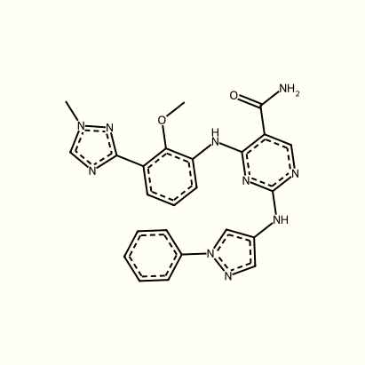 COc1c(Nc2nc(Nc3cnn(-c4ccccc4)c3)ncc2C(N)=O)cccc1-c1ncn(C)n1